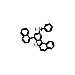 c1ccc(Nc2cc(-c3cccc4ccccc34)c3oc4ccc5ccccc5c4c3c2)cc1